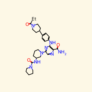 CCC(=O)N1CCC(c2ccc(Nc3nc(N4CCCC(NC(=O)N5CCCCC5)C4)cnc3C(N)=O)cc2)CC1